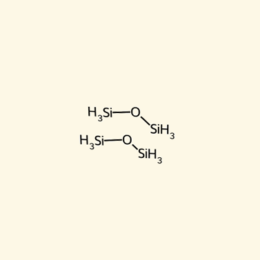 [SiH3]O[SiH3].[SiH3]O[SiH3]